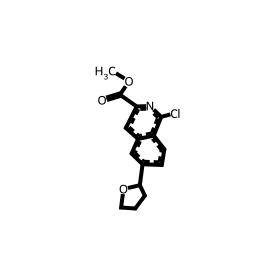 COC(=O)c1cc2cc(C3CCCO3)ccc2c(Cl)n1